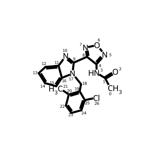 CC(=O)Nc1nonc1-c1nc2ccccc2n1Cc1c(C)cccc1Cl